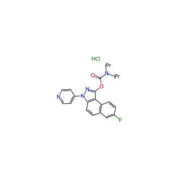 CC(C)N(C(=O)Oc1nn(-c2ccncc2)c2ccc3cc(F)ccc3c12)C(C)C.Cl